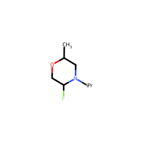 CC1CN(C(C)C)C(F)CO1